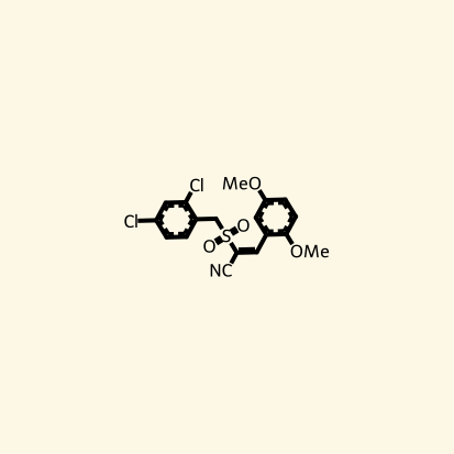 COc1ccc(OC)c(C=C(C#N)S(=O)(=O)Cc2ccc(Cl)cc2Cl)c1